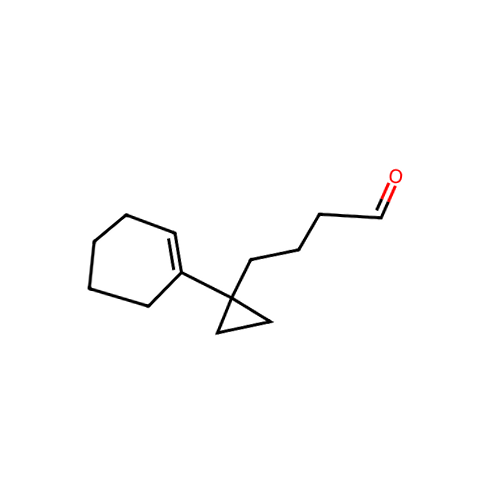 O=CCCCC1(C2=CCCCC2)CC1